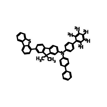 [2H]c1c([2H])c([2H])c(-c2ccc(N(c3ccc(-c4ccccc4)cc3)c3ccc4c(c3)C(C)(C)c3cc(-c5cccc6c5sc5ccccc56)ccc3-4)cc2)c([2H])c1[2H]